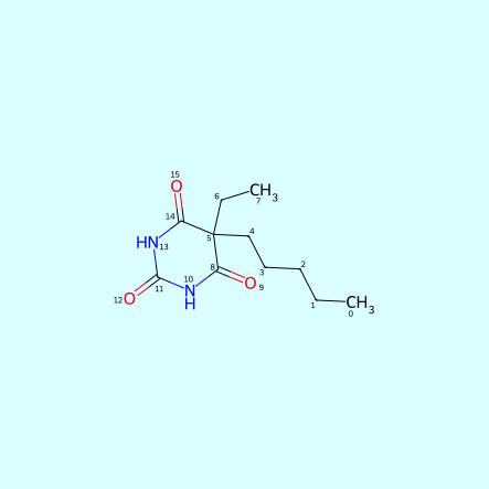 CCCCCC1(CC)C(=O)NC(=O)NC1=O